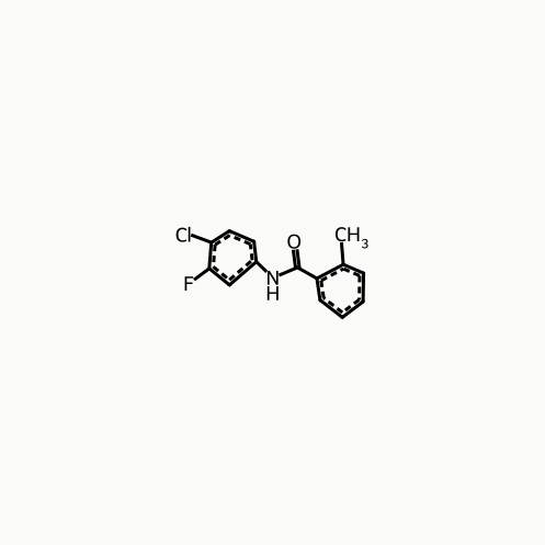 Cc1ccccc1C(=O)Nc1ccc(Cl)c(F)c1